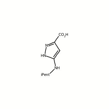 CCCC(C)Nc1cc(C(=O)O)n[nH]1